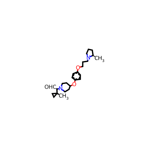 C[C@@H]1CCCN1CCCOc1ccc(OC2CCN(C(C=O)C3(C)CC3)CC2)cc1